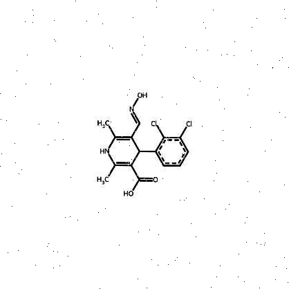 CC1=C(C=NO)C(c2cccc(Cl)c2Cl)C(C(=O)O)=C(C)N1